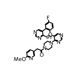 COc1ccc(CC(=O)N2CCN(c3ncncc3Oc3ccc(F)cc3-c3cncnc3C(C)C)CC2)cn1